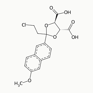 COc1ccc2cc(C3(CCCl)O[C@@H](C(=O)O)[C@H](C(=O)O)O3)ccc2c1